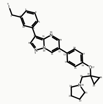 ICc1cccc(-c2cnn3cc(-c4ccc(OC5(CN6CCCC6)CC5)cc4)cnc23)c1